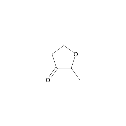 CC1O[CH]CC1=O